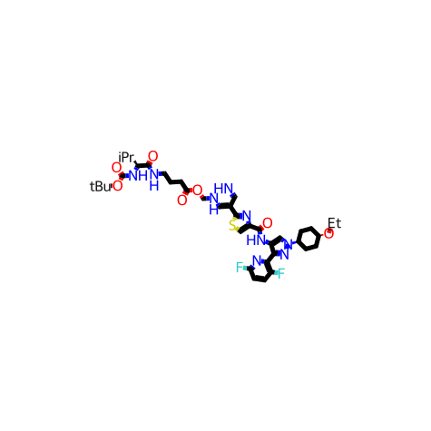 CCO[C@H]1CC[C@H](n2cc(NC(=O)c3csc(/C(C=N)=C/NCOC(=O)CCCNC(=O)[C@@H](NC(=O)OC(C)(C)C)C(C)C)n3)c(-c3nc(F)ccc3F)n2)CC1